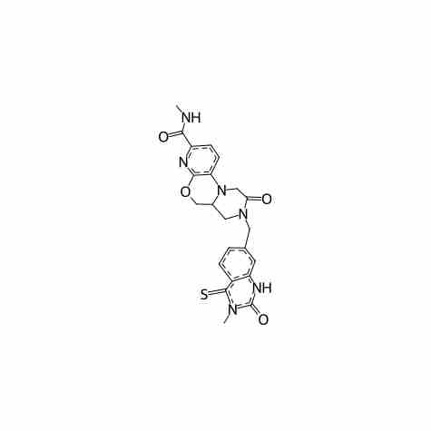 CNC(=O)c1ccc2c(n1)OCC1CN(Cc3ccc4c(=S)n(C)c(=O)[nH]c4c3)C(=O)CN21